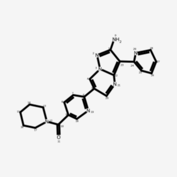 Nc1nn2cc(-c3ccc(C(=O)N4CCCCC4)cn3)cnc2c1-c1ccccn1